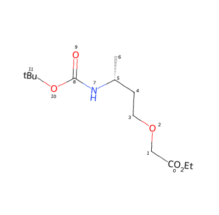 CCOC(=O)COCC[C@@H](C)NC(=O)OC(C)(C)C